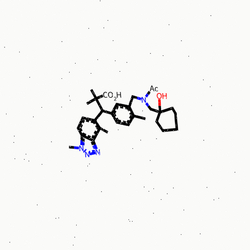 CC(=O)N(Cc1cc(C(c2ccc3c(nnn3C)c2C)C(C)(C)C(=O)O)ccc1C)CC1(O)CCCCC1